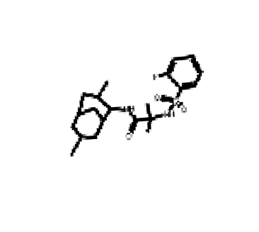 CC1CC2CC(C)C(NC(=O)C(C)(C)NS(=O)(=O)c3ccccc3F)C(C1)C2